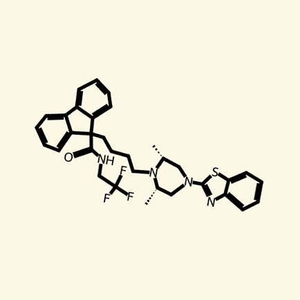 C[C@@H]1CN(c2nc3ccccc3s2)C[C@H](C)N1CCCCC1(C(=O)NCC(F)(F)F)c2ccccc2-c2ccccc21